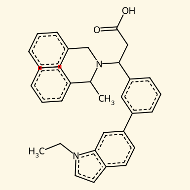 CCn1ccc2ccc(-c3cccc(C(CC(=O)O)N(Cc4ccccc4)C(C)c4ccccc4)c3)cc21